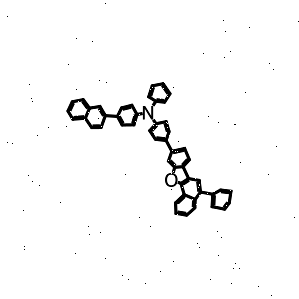 c1ccc(-c2cc3c4ccc(-c5ccc(N(c6ccccc6)c6ccc(-c7ccc8ccccc8c7)cc6)cc5)cc4oc3c3ccccc23)cc1